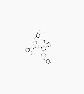 COc1ccc(C(=O)N2CCN(C(OC(=O)C(=O)OC(C(=O)Nc3ccccc3CC(N)=O)N3CCN(C(=O)c4ccc(OC)c(OC)c4)CC3)C(=O)Nc3ccccc3CC(N)=O)CC2)cc1OC